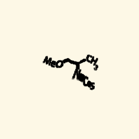 COC[C@@H](C)N=C=S